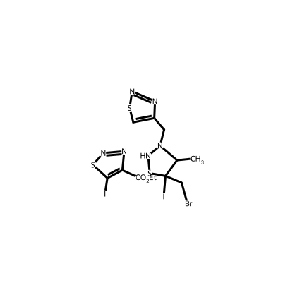 CC1N(Cc2csnn2)NSC1(I)CBr.CCOC(=O)c1nnsc1I